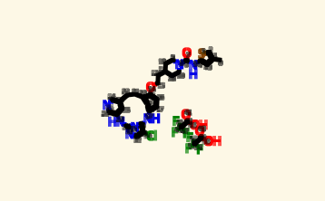 Cc1csc(NC(=O)N2CCC(CCOc3ccc4cc3CCc3cncc(c3)Nc3ncc(Cl)c(n3)N4)CC2)c1.O=C(O)C(F)(F)F.O=C(O)C(F)(F)F